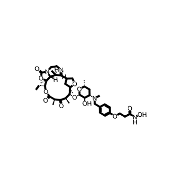 CC[C@H]1OC(=O)[C@H](C)C(=O)[C@H](C)[C@@H](O[C@@H]2O[C@H](C)C[C@H](N(C)Cc3ccc(OCCC(=O)NO)cc3)[C@H]2O)[C@@]2(C)C[C@@H](CO2)C2=NCCN3C(=O)O[C@@]1(C)[C@H]3[C@H]2C